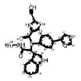 C#Cc1nc(C(=O)N(c2ccc(-c3cnco3)cc2)C(C(=O)NC(C)(C)C)c2c[nH]c3ccccc23)cs1